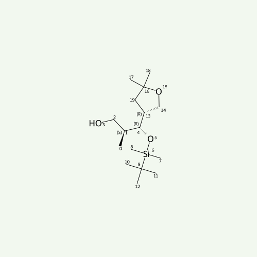 C[C@@H](CO)[C@@H](O[Si](C)(C)C(C)(C)C)[C@H]1COC(C)(C)C1